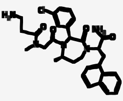 C[C@@H]1CCN([C@H](Cc2cccc3ccccc23)C(N)=O)C(=O)[C@H](c2cccc(Cl)c2)N1C(=O)CN(C)C(=O)CCN